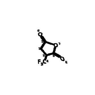 O=C1CC(C(F)(F)F)C(=O)O1